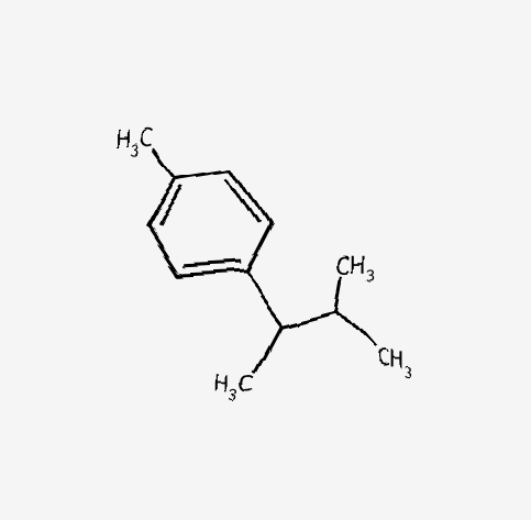 Cc1ccc(C(C)C(C)C)cc1